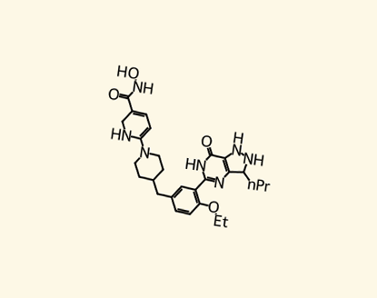 CCCC1NNc2c1nc(-c1cc(CC3CCN(C4=CC=C(C(=O)NO)CN4)CC3)ccc1OCC)[nH]c2=O